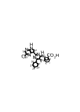 O=C(O)C1C2CCC(CC2)C1Nc1nc(-c2c[nH]c3ncc(Cl)nc23)nc(-c2ccccc2)c1F